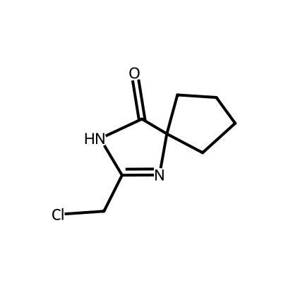 O=C1NC(CCl)=NC12CCCC2